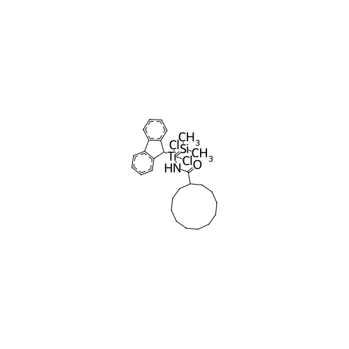 C[Si](C)=[Ti]([Cl])([Cl])([NH]C(=O)C1CCCCCCCCCCC1)[CH]1c2ccccc2-c2ccccc21